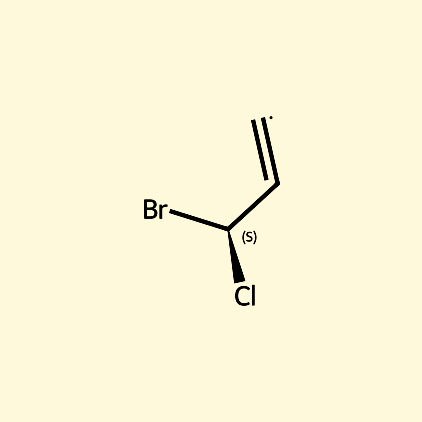 [CH]=C[C@@H](Cl)Br